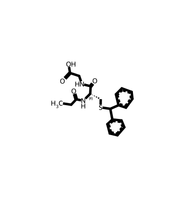 CCC(=O)N[C@@H](CSC(c1ccccc1)c1ccccc1)C(=O)NCC(=O)O